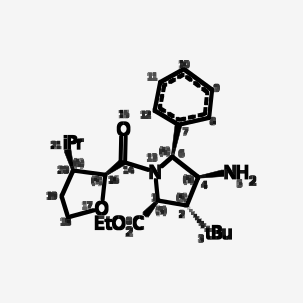 CCOC(=O)[C@@H]1[C@@H](C(C)(C)C)[C@H](N)[C@H](c2ccccc2)N1C(=O)[C@H]1OCC[C@H]1C(C)C